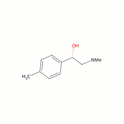 CNC[C@@H](O)c1ccc(C)cc1